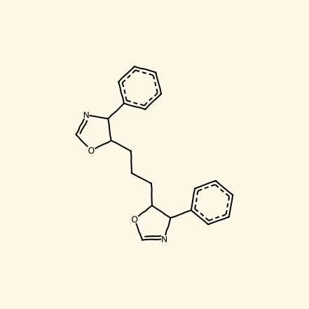 C1=NC(c2ccccc2)C(CCCC2OC=NC2c2ccccc2)O1